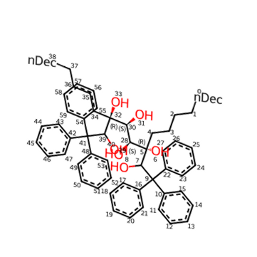 CCCCCCCCCCCCCC[C@@](O)(C(O)C(c1ccccc1)(c1ccccc1)c1ccccc1)[C@@H](O)[C@H](O)[C@@](O)(CCCCCCCCCCCCCC)C(O)C(c1ccccc1)(c1ccccc1)c1ccccc1